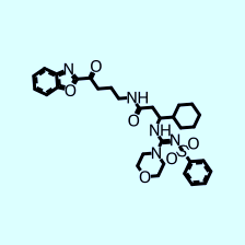 O=C(CC(NC(=NS(=O)(=O)c1ccccc1)N1CCOCC1)C1CCCCC1)NCCCC(=O)c1nc2ccccc2o1